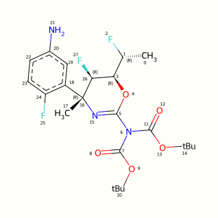 C[C@@H](F)[C@H]1OC(N(C(=O)OC(C)(C)C)C(=O)OC(C)(C)C)=N[C@](C)(c2cc(N)ccc2F)[C@H]1F